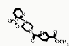 COC(=O)c1ccc(C(=O)N2CCN(c3ncccc3[N+](=O)[O-])CC2)nc1